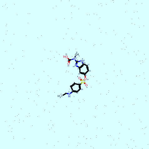 CCNc1ccc(S(=O)(=O)Oc2ccc3[nH]c(N(C)C(=O)O)nc3c2)cc1